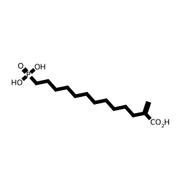 C=C(CCCCCCCCCCCP(=O)(O)O)C(=O)O